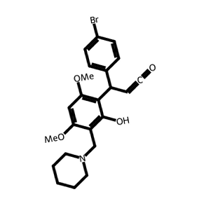 COc1cc(OC)c(C(C=C=O)c2ccc(Br)cc2)c(O)c1CN1CCCCC1